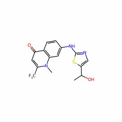 CC(O)c1cnc(Nc2ccc3c(=O)cc(C(F)(F)F)n(C)c3c2)s1